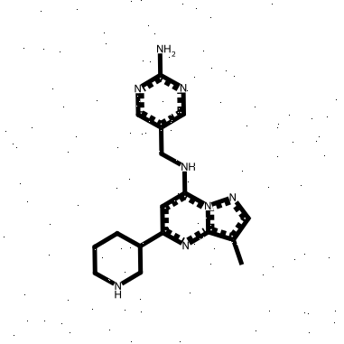 Cc1cnn2c(NCc3cnc(N)nc3)cc(C3CCCNC3)nc12